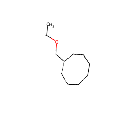 C[CH]OCC1CCCCCCC1